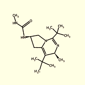 CNC(=O)N[C@@H]1CC2=C(C(C)(C)C)[C@H](C)N=C(C(C)(C)C)N2C1